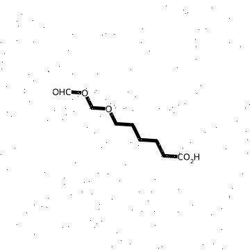 O=COCOCCCCCC(=O)O